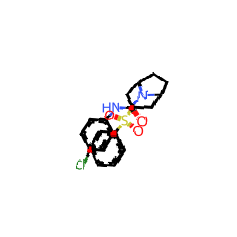 O=C(Nc1ccc(Cl)cc1)N1C2CCC1CC(S(=O)(=O)c1ccccc1)C2